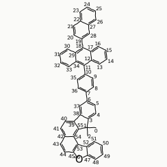 CC1(C)c2ccc(-c3ccc(-c4c5ccccc5c(-c5ccc6ccccc6c5)c5ccccc45)cc3)cc2-c2ccc3ccc4oc5ccccc5c4c3c21